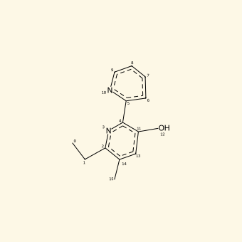 CCc1nc(-c2ccccn2)c(O)cc1C